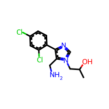 CC(O)Cn1cnc(-c2ccc(Cl)cc2Cl)c1CN